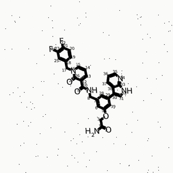 NC(=O)COc1cc(CNC(=O)c2cccn(Cc3ccc(F)c(F)c3)c2=O)cc(-c2c[nH]c3ncccc23)c1